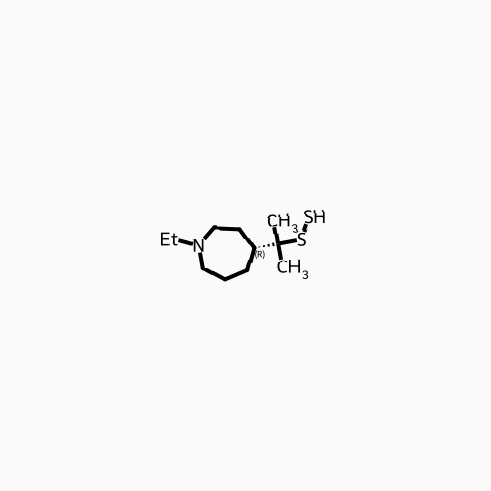 CCN1CCC[C@@H](C(C)(C)SS)CC1